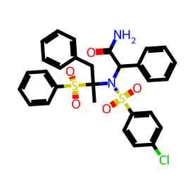 CC(Cc1ccccc1)(N(C(C(N)=O)c1ccccc1)S(=O)(=O)c1ccc(Cl)cc1)S(=O)(=O)c1ccccc1